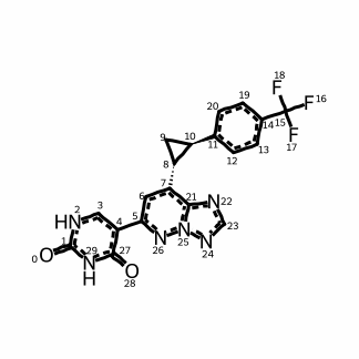 O=c1[nH]cc(-c2cc([C@@H]3C[C@H]3c3ccc(C(F)(F)F)cc3)c3ncnn3n2)c(=O)[nH]1